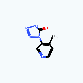 Cc1ccncc1-n1nn[nH]c1=O